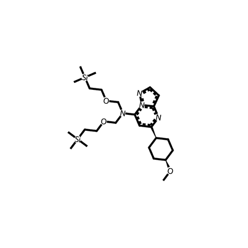 CO[C@H]1CC[C@@H](c2cc(N(COCC[Si](C)(C)C)COCC[Si](C)(C)C)n3nccc3n2)CC1